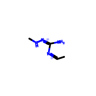 C/C=N\C(N)=N/NC